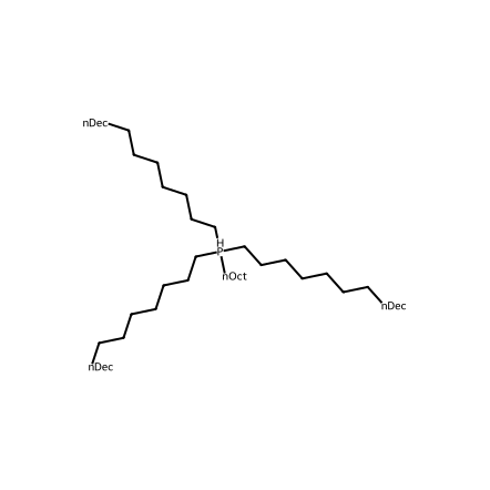 CCCCCCCCCCCCCCCCC[PH](CCCCCCCC)(CCCCCCCCCCCCCCCCC)CCCCCCCCCCCCCCCCC